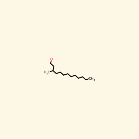 CCCCCCCCCCC(C)CC[O]